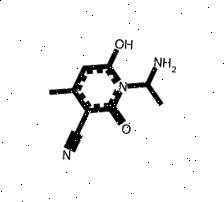 Cc1cc(O)n(C(C)N)c(=O)c1C#N